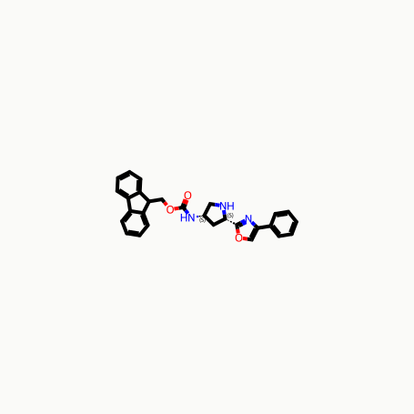 O=C(N[C@@H]1CN[C@H](c2nc(-c3ccccc3)co2)C1)OCC1c2ccccc2-c2ccccc21